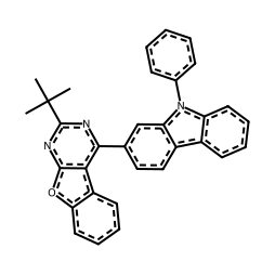 CC(C)(C)c1nc(-c2ccc3c4ccccc4n(-c4ccccc4)c3c2)c2c(n1)oc1ccccc12